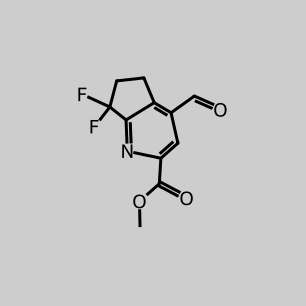 COC(=O)c1cc(C=O)c2c(n1)C(F)(F)CC2